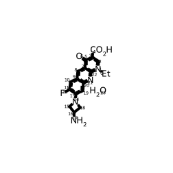 CCn1cc(C(=O)O)c(=O)c2cc3cc(F)c(N4CC(N)C4)cc3nc21.O